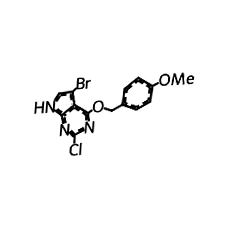 COc1ccc(COc2nc(Cl)nc3[nH]cc(Br)c23)cc1